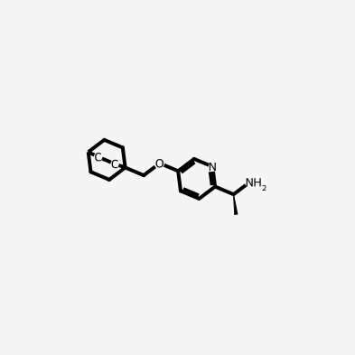 C[C@H](N)c1ccc(OCC23CCC(CC2)CC3)cn1